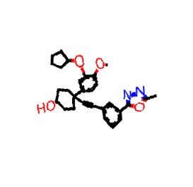 COc1ccc(C2(C#Cc3cccc(-c4nnc(C)o4)c3)CCC(O)CC2)cc1OC1CCCC1